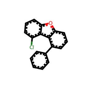 Clc1cccc2oc3cccc(-c4ccccc4)c3c12